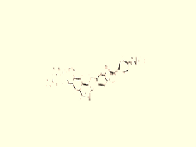 COc1cc2cncc(Cc3ccc4oc(-c5ccc([N+](=O)[O-])cc5)nc4c3)c2cc1OC